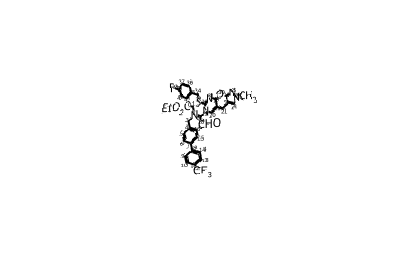 CCOC(=O)CN(Cc1ccc(-c2ccc(C(F)(F)F)cc2)cc1)C(C=O)n1cc(Cc2cnn(C)c2)c(=O)nc1SCc1ccc(F)cc1